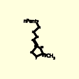 CCCCCCCCC=C1CCC(C)C1